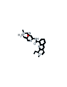 C=Cc1cc2cccc(C(=O)NC(=C/CCOC)/N=C\C(C#N)=C\N)c2nc1C(CC)OC